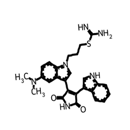 CN(C)c1ccc2c(c1)c(C1=C(c3c[nH]c4ccccc34)C(=O)NC1=O)cn2CCCSC(=N)N